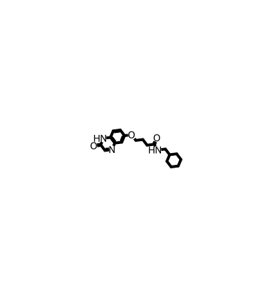 O=C(CCCOc1ccc2[nH]c(=O)cnc2c1)NCC1CCCCC1